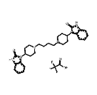 O=C(O)C(F)(F)F.O=c1[nH]c2ccccc2n1C1CCN(CCCCN2CCC(n3c(=O)[nH]c4ccccc43)CC2)CC1